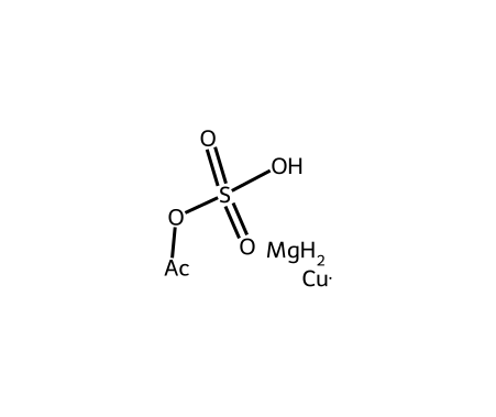 CC(=O)OS(=O)(=O)O.[Cu].[MgH2]